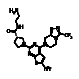 CCCc1cc2c(N3CCn4c(nnc4C(F)(F)F)C3)nc(N3CC[C@H](C(=O)NCCN)C3)nc2s1